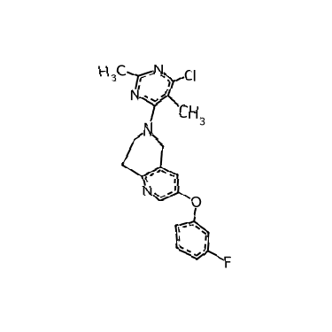 Cc1nc(Cl)c(C)c(N2CCc3ncc(Oc4cccc(F)c4)cc3C2)n1